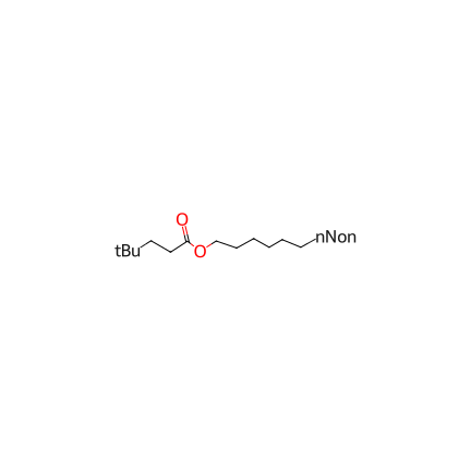 CCCCCCCCCCCCCCCOC(=O)CCC(C)(C)C